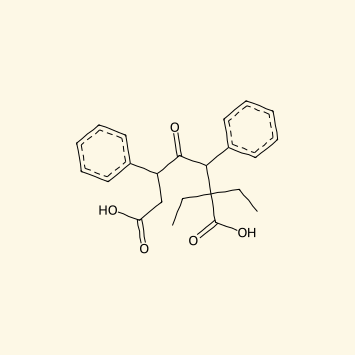 CCC(CC)(C(=O)O)C(C(=O)C(CC(=O)O)c1ccccc1)c1ccccc1